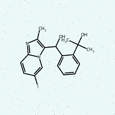 Cc1nc2ccc(I)cn2c1C(O)c1ccccc1C(C)(C)O